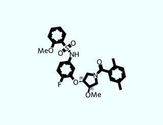 COc1ccccc1S(=O)(=O)Nc1ccc(F)c(O[C@@H]2CN(C(=O)c3cc(C)ccc3C)C[C@H]2OC)c1